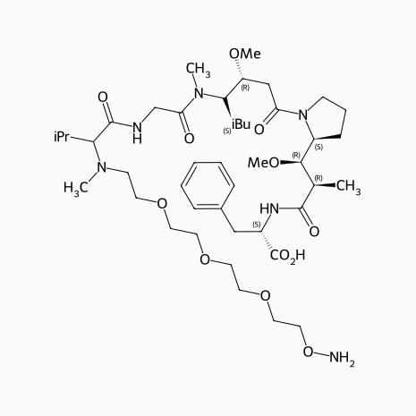 CC[C@H](C)C([C@@H](CC(=O)N1CCC[C@H]1[C@H](OC)[C@@H](C)C(=O)N[C@@H](Cc1ccccc1)C(=O)O)OC)N(C)C(=O)CNC(=O)C(C(C)C)N(C)CCOCCOCCOCCON